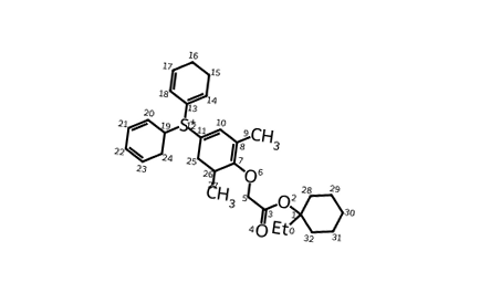 CCC1(OC(=O)COC2=C(C)C=C([S+](C3=CCCC=C3)C3C=CC=CC3)CC2C)CCCCC1